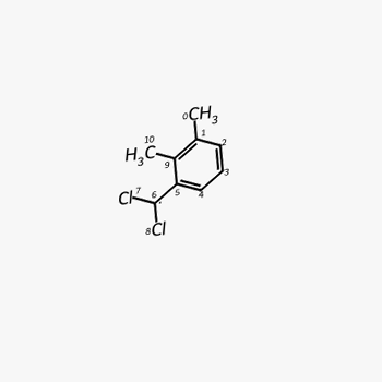 Cc1cccc([C](Cl)Cl)c1C